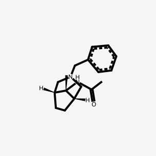 CC(=O)N[C@@]1(C)[C@@H]2CC[C@H]1CN(Cc1ccccc1)C2